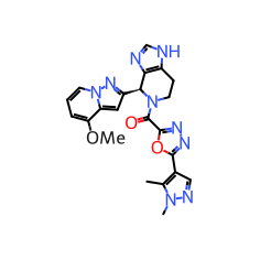 COc1cccn2nc([C@H]3c4nc[nH]c4CCN3C(=O)c3nnc(-c4cnn(C)c4C)o3)cc12